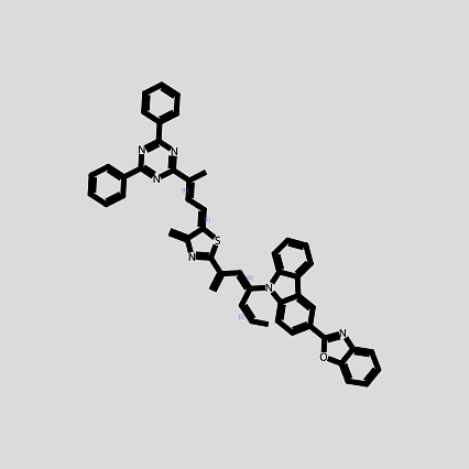 C=C(/C=C(\C=C/C)n1c2ccccc2c2cc(-c3nc4ccccc4o3)ccc21)c1nc(=C)/c(=C\C=C(/C)c2nc(-c3ccccc3)nc(-c3ccccc3)n2)s1